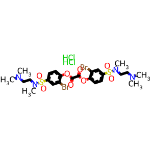 CN(C)CCN(C)S(=O)(=O)c1ccc(OC(=O)C(=O)Oc2ccc(S(=O)(=O)N(C)CCN(C)C)cc2Br)c(Br)c1.Cl.Cl